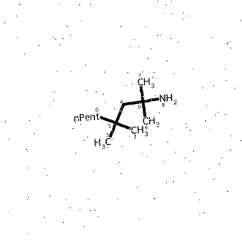 CCCCCC(C)(C)CC(C)(C)N